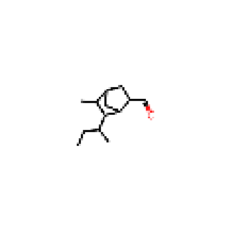 CCC(C)C1C(C)C2CC(C=O)C1C2